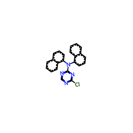 Clc1ncnc(N(c2cccc3ccccc23)c2cccc3ccccc23)n1